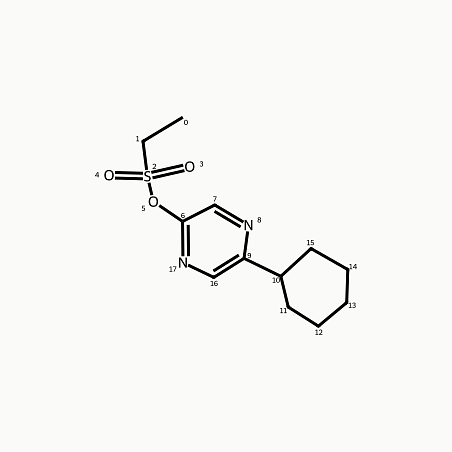 CCS(=O)(=O)Oc1cnc(C2CCCCC2)cn1